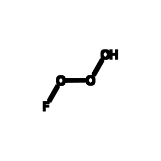 OOOF